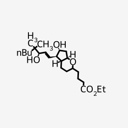 CCCCC(C)(C)[C@H](O)/C=C/[C@@H]1[C@H]2CCC(CCCC(=O)OCC)O[C@@H]2C[C@H]1O